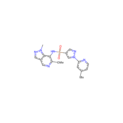 COc1ncc2cnn(C)c2c1NS(=O)(=O)c1cnn(-c2cc(C(C)(C)C)ccn2)c1